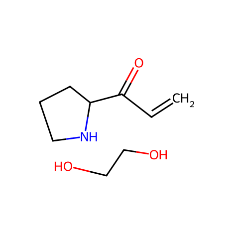 C=CC(=O)C1CCCN1.OCCO